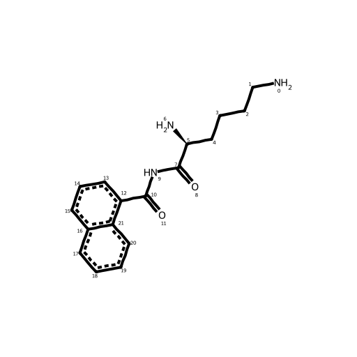 NCCCC[C@H](N)C(=O)NC(=O)c1cccc2ccccc12